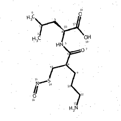 CC(C)C[C@H](NC(=O)C(CCCN)CSN=O)C(=O)O